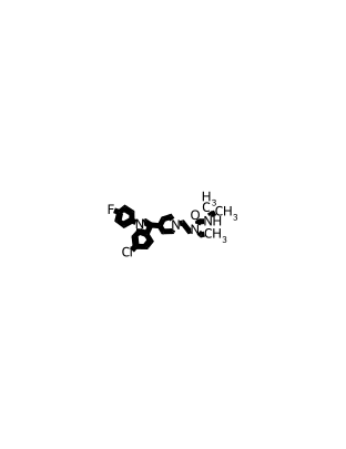 CCN(CCN1CCC(c2cn(-c3ccc(F)cc3)c3cc(Cl)ccc23)CC1)C(=O)NC(C)C